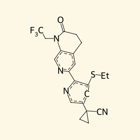 CCSc1cc(C2(C#N)CC2)cnc1-c1cc2c(cn1)N(CC(F)(F)F)C(=O)CC2